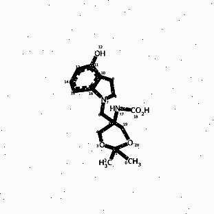 CC1(C)OCC(CN2CCc3c(O)cccc32)(NC(=O)O)CO1